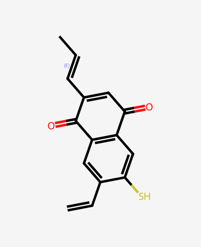 C=Cc1cc2c(cc1S)C(=O)C=C(/C=C/C)C2=O